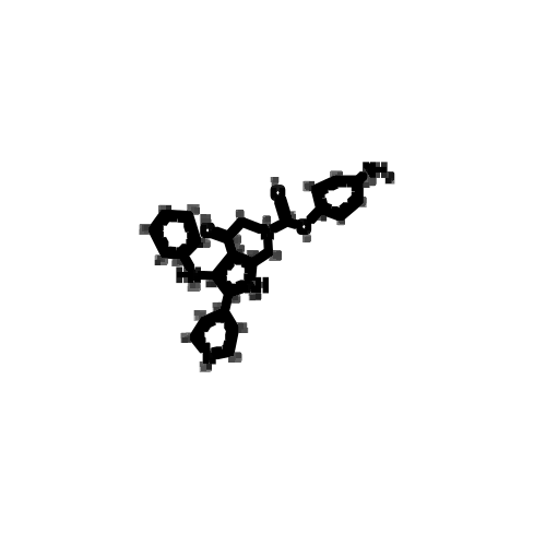 Nc1ccc(OC(=O)N2CC(=O)c3c([nH]c(-c4ccncc4)c3Nc3ccccc3)C2)cc1